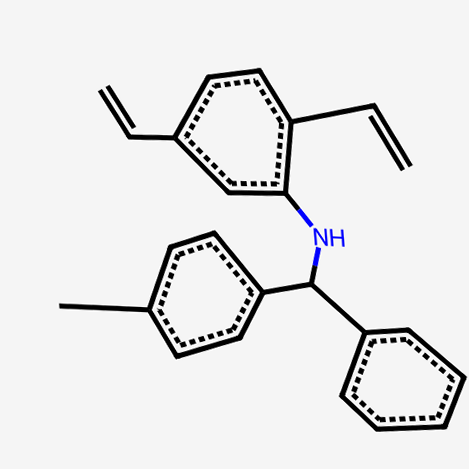 C=Cc1ccc(C=C)c(NC(c2ccccc2)c2ccc(C)cc2)c1